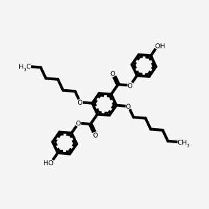 CCCCCCOc1cc(C(=O)Oc2ccc(O)cc2)c(OCCCCCC)cc1C(=O)Oc1ccc(O)cc1